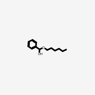 CCCCCCOC(O)c1ccccc1